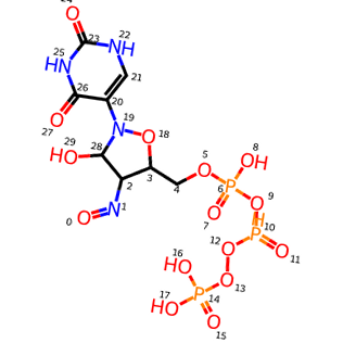 O=NC1C(COP(=O)(O)O[PH](=O)OOP(=O)(O)O)ON(c2c[nH]c(=O)[nH]c2=O)C1O